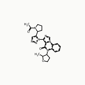 CC(=O)N1CCCC1c1cnnn1-c1ncn2c1c(=O)n(C1CCOC1C)c1ccccc12